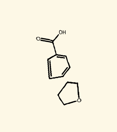 C1CCOC1.O=C(O)c1ccccc1